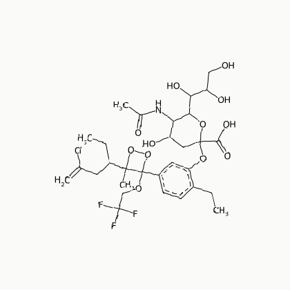 C=C(Cl)CC(CC)C1(C)OOC1(OCC(F)(F)F)c1ccc(CC)c(OC2(C(=O)O)CC(O)C(NC(C)=O)C(C(O)C(O)CO)O2)c1